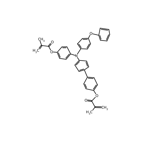 C=C(C)C(=O)Oc1ccc(-c2ccc(N(c3ccc(OC(=O)C(=C)C)cc3)c3ccc(Oc4ccccc4)cc3)cc2)cc1